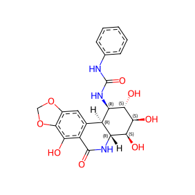 O=C(Nc1ccccc1)N[C@H]1[C@H](O)[C@@H](O)[C@@H](O)[C@@H]2NC(=O)c3c(cc4c(c3O)OCO4)[C@@H]12